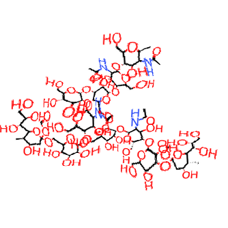 CC(=O)NC1C(O)[C@H](O[C@@H]2OC(CO)[C@H](O)[C@H](O[C@]3(OC=O)C[C@@H](O)[C@@H](C)C([C@H](O)[C@H](O)CO)O3)C2O)[C@H](CO)O[C@H]1OC1[C@@H](OCC2O[C@@H](O[C@@H]3C(CO)O[C@@H](O[C@@H]4C(CO)O[C@@H](C)C(NC(C)=O)[C@H]4O)C(NC(C)=O)[C@H]3O)C(O)[C@@H](O[C@H]3OC(CO)[C@@H](O)C(O)C3O[C@@H]3OC(CO)[C@@H](O[C@@H]4OC(CO[C@]5(OC=O)C[C@@H](O)[C@@H](C)C([C@H](O)[C@H](O)CO)O5)[C@H](O)[C@H](O)C4O)[C@H](O)C3NC(C)=O)[C@@H]2O)OC(CO)[C@@H](O)[C@@H]1O